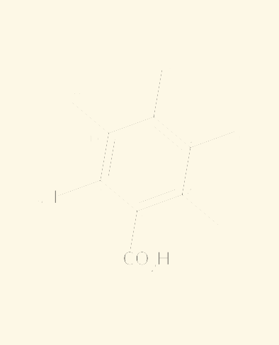 Cc1c(C)c(C)c(C(=O)O)c(I)c1C